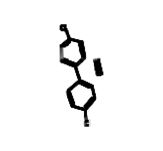 C#C.Clc1ccc(-c2ccc(Cl)cc2)cc1